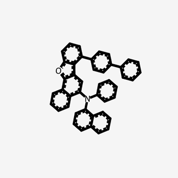 c1ccc(-c2ccc(-c3cccc4oc5c6ccccc6c(N(c6ccccc6)c6cccc7ccccc67)cc5c34)cc2)cc1